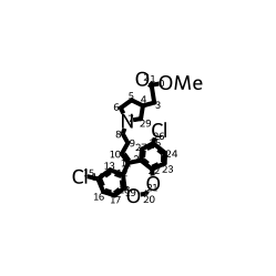 COC(=O)CC1CCN(CCC=C2c3cc(Cl)ccc3OCOc3ccc(Cl)cc32)C1